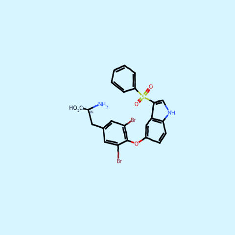 N[C@@H](Cc1cc(Br)c(Oc2ccc3[nH]cc(S(=O)(=O)c4ccccc4)c3c2)c(Br)c1)C(=O)O